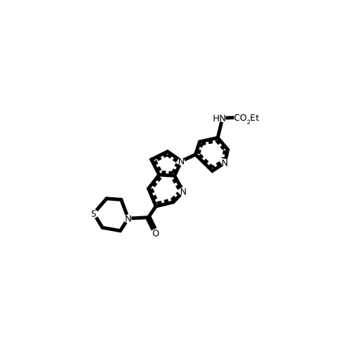 CCOC(=O)Nc1cncc(-n2ccc3cc(C(=O)N4CCSCC4)cnc32)c1